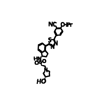 CC(C)Oc1ccc(-c2nnc(-c3cccc4c3CC[C@@H]4NS(=O)(=O)CCN3CC[C@H](O)C3)s2)cc1C#N